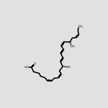 CC/C=C\C[C@@H](O)\C=C/C=C/C=C/[C@@H](O)C/C=C\C/C=C\CCCCC(=O)O